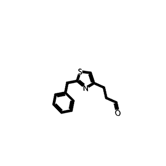 O=CCCc1csc(Cc2ccccc2)n1